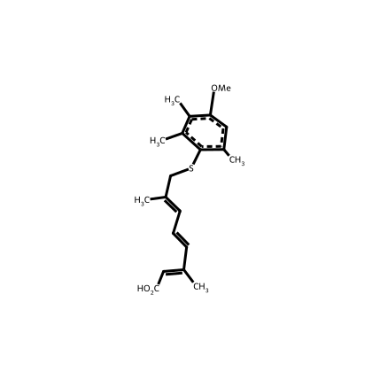 COc1cc(C)c(SCC(C)=CC=CC(C)=CC(=O)O)c(C)c1C